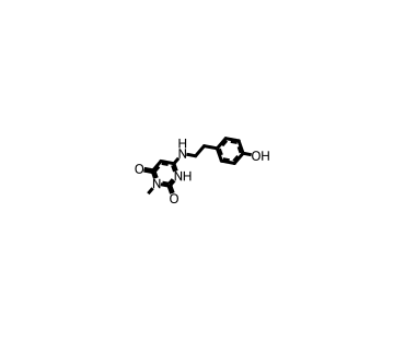 Cn1c(=O)cc(NCCc2ccc(O)cc2)[nH]c1=O